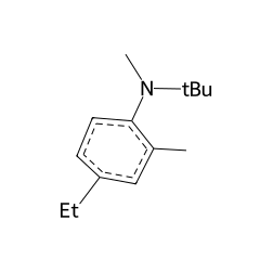 CCc1ccc(N(C)C(C)(C)C)c(C)c1